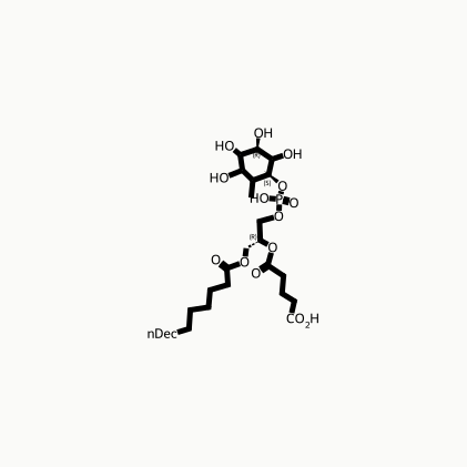 CCCCCCCCCCCCCCCC(=O)OC[C@H](COP(=O)(O)O[C@H]1C(C)C(O)C(O)[C@@H](O)C1O)OC(=O)CCCC(=O)O